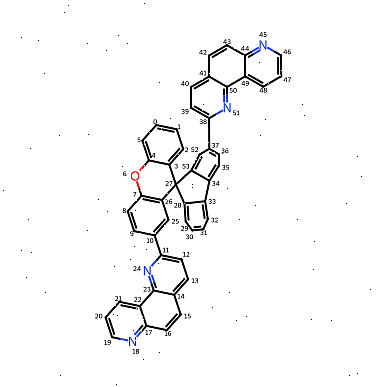 c1ccc2c(c1)Oc1ccc(-c3ccc4ccc5ncccc5c4n3)cc1C21c2ccccc2-c2ccc(-c3ccc4ccc5ncccc5c4n3)cc21